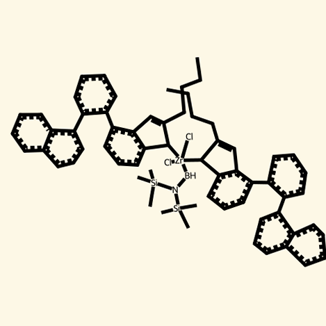 CCCCC1=Cc2c(-c3ccccc3-c3cccc4ccccc34)cccc2[CH]1[Zr]([Cl])([Cl])([BH]N([Si](C)(C)C)[Si](C)(C)C)[CH]1C(CCCC)=Cc2c(-c3ccccc3-c3cccc4ccccc34)cccc21